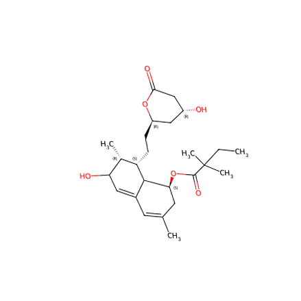 CCC(C)(C)C(=O)O[C@H]1CC(C)=CC2=CC(O)[C@H](C)[C@H](CC[C@@H]3C[C@@H](O)CC(=O)O3)C21